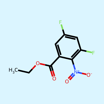 CCOC(=O)c1cc(F)cc(F)c1[N+](=O)[O-]